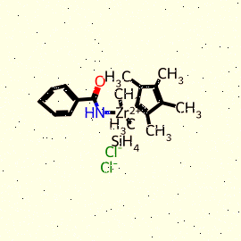 CC1=C(C)C(C)[C]([Zr+2]([CH3])([CH3])[NH]C(=O)c2ccccc2)=C1C.[Cl-].[Cl-].[SiH4]